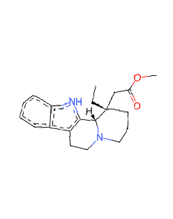 CC[C@@]1(CC(=O)OC)CCCN2CCc3c([nH]c4ccccc34)[C@@H]21